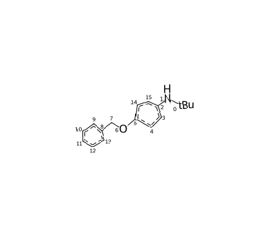 CC(C)(C)Nc1ccc(OCc2ccccc2)cc1